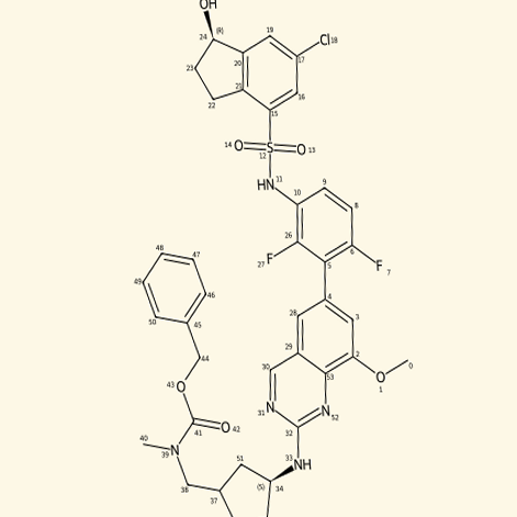 COc1cc(-c2c(F)ccc(NS(=O)(=O)c3cc(Cl)cc4c3CC[C@H]4O)c2F)cc2cnc(N[C@H]3CCC(CN(C)C(=O)OCc4ccccc4)C3)nc12